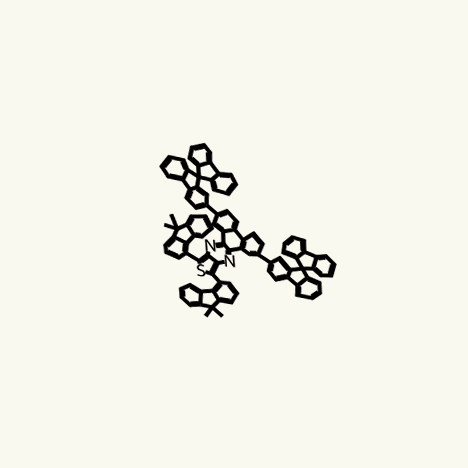 CC1(C)c2ccccc2-c2c(-c3sc(-c4cccc5c4-c4ccccc4C5(C)C)c4nc5c6cc(-c7ccc8c(c7)C7(c9ccccc9-c9ccccc97)c7ccccc7-8)ccc6c6ccc(-c7ccc8c(c7)C7(c9ccccc9-c9ccccc97)c7ccccc7-8)cc6c5nc34)cccc21